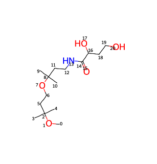 COC(C)(C)CCOC(C)(C)CCNC(=O)C(O)CCO